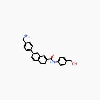 NCc1ccc(-c2ccc3c(c2)C=C(C(=O)Nc2ccc(CO)cc2)CC3)cc1